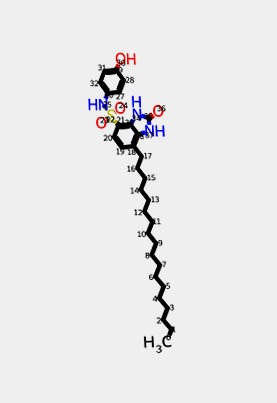 CCCCCCCCCCCCCCCCCCc1ccc(S(=O)(=O)Nc2ccc(O)cc2)c2[nH]c(=O)[nH]c12